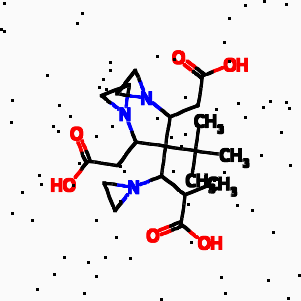 CC(C(=O)O)C(N1CC1)C(C(CC(=O)O)N1CC1)(C(CC(=O)O)N1CC1)C(C)(C)C